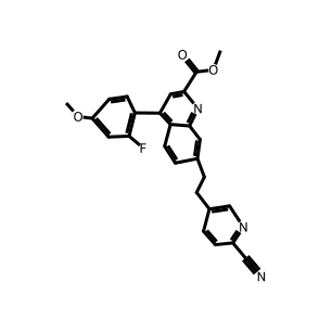 COC(=O)c1cc(-c2ccc(OC)cc2F)c2ccc(CCc3ccc(C#N)nc3)cc2n1